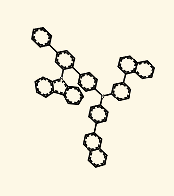 c1ccc(-c2ccc(-c3ccc(N(c4ccc(-c5ccc6ccccc6c5)cc4)c4cccc(-c5cccc6ccccc56)c4)cc3)c(-n3c4ccccc4c4ccccc43)c2)cc1